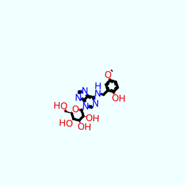 COc1ccc(O)c(CNc2ncn(C3O[C@H](CO)[C@@H](O)[C@H](O)[C@H]3O)c3ncnc2-3)c1